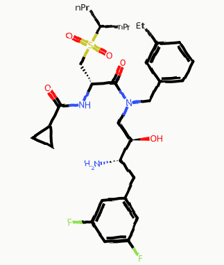 CCCC(CCC)S(=O)(=O)C[C@@H](NC(=O)C1CC1)C(=O)N(Cc1cccc(CC)c1)C[C@@H](O)[C@@H](N)Cc1cc(F)cc(F)c1